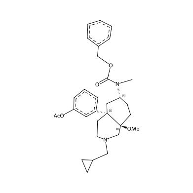 CO[C@]12CC[C@@H](N(C)C(=O)OCc3ccccc3)C[C@]1(c1cccc(OC(C)=O)c1)CCN(CC1CC1)C2